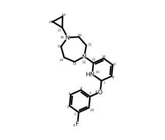 Fc1cccc(OC2C=C[C]=C(N3CCCN(C4CC4)CC3)N2)c1